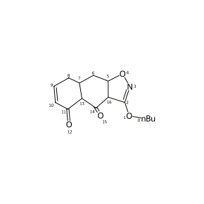 CCCCOC1=NOC2CC3CC=CC(=O)C3C(=O)C12